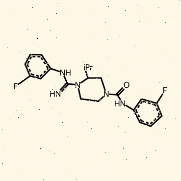 CC(C)C1CN(C(=O)Nc2cccc(F)c2)CCN1C(=N)Nc1cccc(F)c1